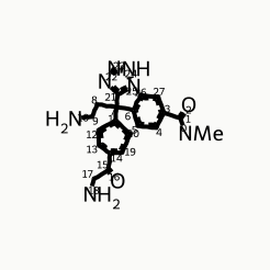 CNC(=O)c1ccc(C(CCN)(c2ccc(C(=O)CN)cc2)c2nn[nH]n2)cc1